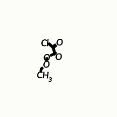 CCOOC(=O)C(=O)Cl